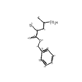 CCC(CC(C)C(=O)O)C(=O)OCc1ccccc1